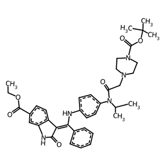 CCOC(=O)c1ccc2c(c1)NC(=O)C2=C(Nc1ccc(N(C(=O)CN2CCN(C(=O)OC(C)(C)C)CC2)C(C)C)cc1)c1ccccc1